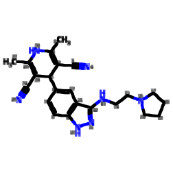 CC1=C(C#N)C(c2ccc3[nH]nc(NCCN4CCCC4)c3c2)C(C#N)=C(C)N1